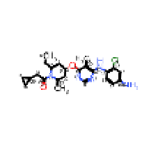 CCC1C[C@H](Oc2ncnc(Nc3ccc(N)cc3Cl)c2C)CC(C)N1C(=O)CC1CC1